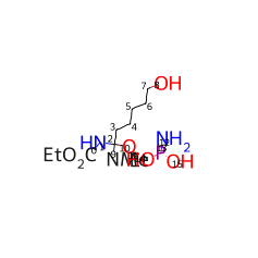 CCOC(=O)NC(CCCCCO)(NC)OCC.NP(O)O